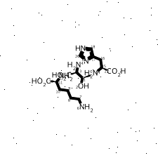 C[C@@H](O)[C@H](N)C(=O)O.NCCCC[C@H](N)C(=O)O.N[C@@H](Cc1c[nH]cn1)C(=O)O